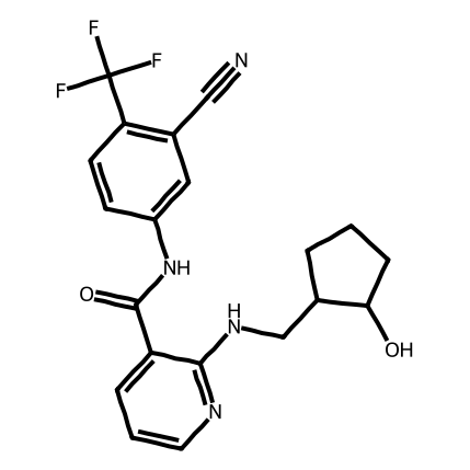 N#Cc1cc(NC(=O)c2cccnc2NCC2CCCC2O)ccc1C(F)(F)F